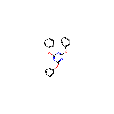 c1ccc(Oc2nc(Oc3ccccc3)nc(Oc3ccccc3)n2)cc1